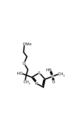 COCCOCC(C)(O)c1ncc(S(C)(=N)=O)s1